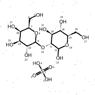 O=S(=O)(O)O.OC[C@H]1OC(O[C@H]2C(O)O[C@H](CO)[C@@H](O)[C@@H]2O)[C@H](O)[C@@H](O)[C@H]1O